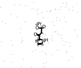 CC(C)OC(=O)CC(=O)c1ncc[nH]1